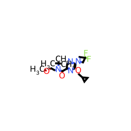 COCCN(C(=O)c1cnc(N2CC(F)(F)C2)c(OCC2CC2)n1)C(C)(C)C